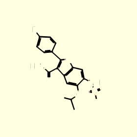 CC(C)Oc1cc2c(C(N)=O)c(-c3ccc(F)cc3)oc2cc1NS(C)(=O)=O